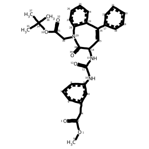 COC(=O)Cc1cccc(NC(=O)NC2C=C(c3ccccc3)c3ccccc3N(CC(=O)OC(C)(C)C)C2=O)c1